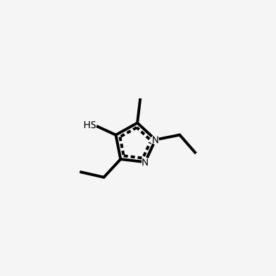 CCc1nn(CC)c(C)c1S